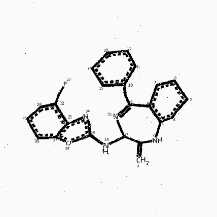 C=C1Nc2ccccc2C(c2ccccc2)=NC1Nc1nc2c(F)cccc2o1